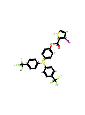 O=C(Oc1ccc([SH](c2ccc(C(F)(F)F)cc2)c2ccc(C(F)(F)F)cc2)cc1)c1sccc1I